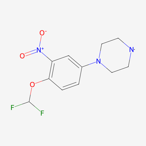 O=[N+]([O-])c1cc(N2CC[N]CC2)ccc1OC(F)F